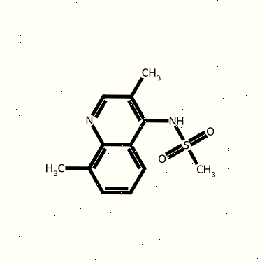 Cc1cnc2c(C)cccc2c1NS(C)(=O)=O